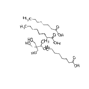 CC(O)C(CO)(CO)CO.CCCCCCCC(=O)O.CCCCCCCC(=O)O.CCCCCCCC(=O)O